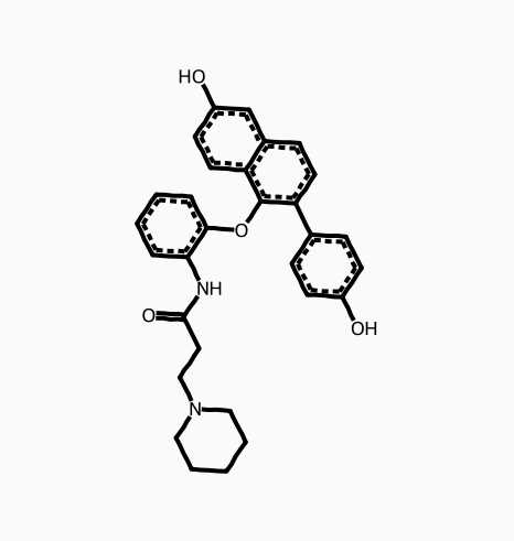 O=C(CCN1CCCCC1)Nc1ccccc1Oc1c(-c2ccc(O)cc2)ccc2cc(O)ccc12